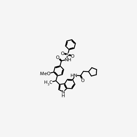 COc1cc(C(=O)NS(=O)(=O)c2ccccc2)ccc1C(C)c1c[nH]c2ccc(NC(=O)CC3CCCC3)cc12